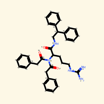 N=C(N)NCCCC(C(=O)NCC(c1ccccc1)c1ccccc1)N(C(=O)Cc1ccccc1)C(=O)Cc1ccccc1